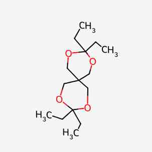 CCC1(CC)OCC2(CO1)COC(CC)(CC)OC2